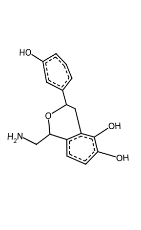 NCC1OC(c2cccc(O)c2)Cc2c1ccc(O)c2O